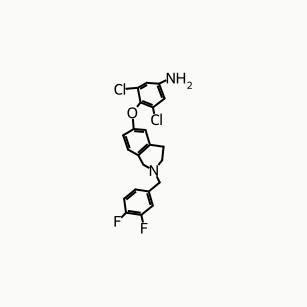 Nc1cc(Cl)c(Oc2ccc3c(c2)CCN(Cc2ccc(F)c(F)c2)C3)c(Cl)c1